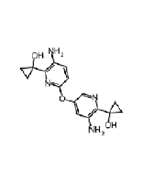 Nc1cc(Oc2ccc(N)c(C3(O)CC3)n2)cnc1C1(O)CC1